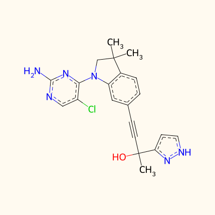 CC(O)(C#Cc1ccc2c(c1)N(c1nc(N)ncc1Cl)CC2(C)C)c1cc[nH]n1